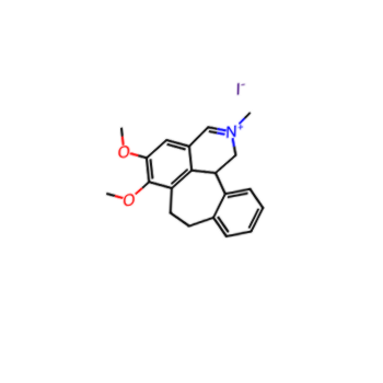 COc1cc2c3c(c1OC)CCc1ccccc1C3C[N+](C)=C2.[I-]